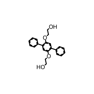 OCCOc1cc(-c2ccccc2)c(OCCO)cc1-c1ccccc1